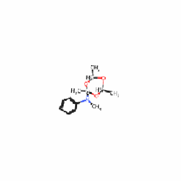 CN(c1ccccc1)[Si]1(C)O[SiH](C)O[SiH](C)O1